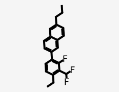 CCCc1ccc2cc(-c3ccc(CC)c(C(F)F)c3F)ccc2c1